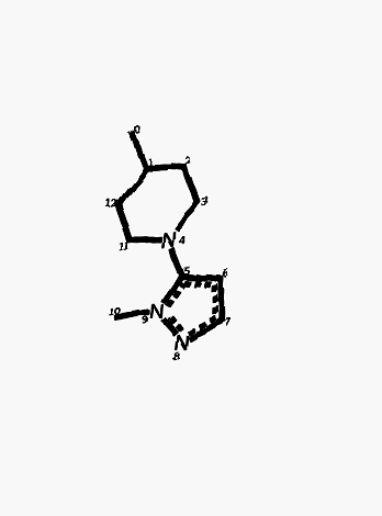 CC1CCN(c2ccnn2C)CC1